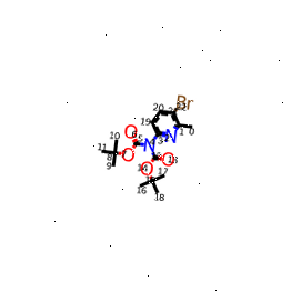 Cc1nc(N(C(=O)OC(C)(C)C)C(=O)OC(C)(C)C)ccc1Br